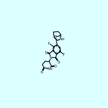 O=C1CCC(N2C(=O)c3c(F)cc(N4CC5CCC4CN5)c(F)c3C2=O)C(=O)N1